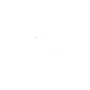 OC[C@H]1O[C@](CO)(O[C@@H]2O[C@H](CO)[C@H](Cl)[C@H](O)[C@H]2O)[C@@H](O)[C@@H]1O